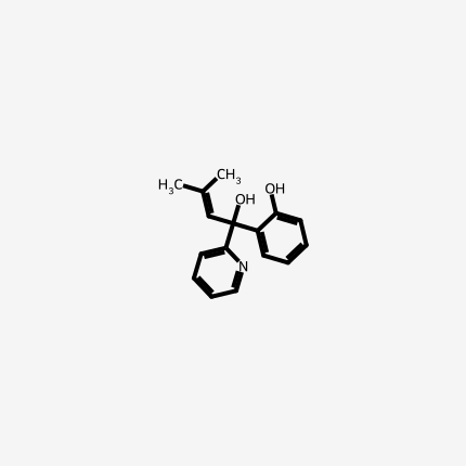 CC(C)=CC(O)(c1ccccn1)c1ccccc1O